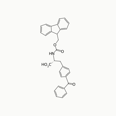 O=C(N[C@H](Cc1ccc(C(=O)c2ccccc2)cc1)C(=O)O)OCC1c2ccccc2-c2ccccc21